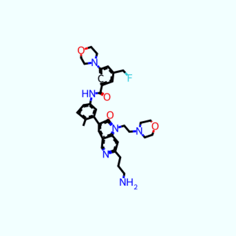 Cc1ccc(NC(=O)c2cc(CF)cc(N3CCOCC3)c2)cc1-c1cc2cnc(CCCN)cc2n(CCN2CCOCC2)c1=O